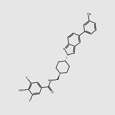 N#Cc1cccc(-c2ccc3nn([C@H]4CC[C@H](CNC(=O)c5cc(F)c(O)c(F)c5)CC4)cc3c2)c1